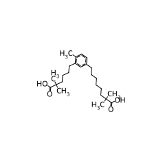 Cc1ccc(CCCCCCC(C)(C)C(=O)O)cc1CCCCC(C)(C)C(=O)O